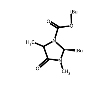 CC1C(=O)N(C)[C@H](C(C)(C)C)N1C(=O)OC(C)(C)C